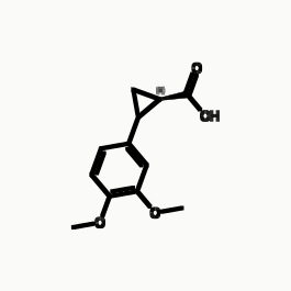 COc1ccc(C2C[C@H]2C(=O)O)cc1OC